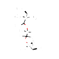 C=C[Si](C)(C)OC(C)(CC)[Si](C)(C)OC(C)[Si](C)(C)C=C